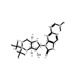 CN(C)/C=N\c1ncc2sc(=O)n([C@@H]3O[C@@H]4CO[Si](C(C)(C)C)(C(C)(C)C)O[C@@H]4[C@H]3O)c2n1